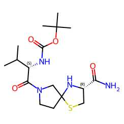 CC(C)[C@H](NC(=O)OC(C)(C)C)C(=O)N1CCC2(C1)N[C@H](C(N)=O)CS2